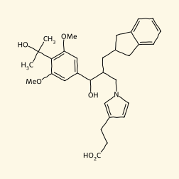 COc1cc(C(O)C(CC2Cc3ccccc3C2)Cn2ccc(CCC(=O)O)c2)cc(OC)c1C(C)(C)O